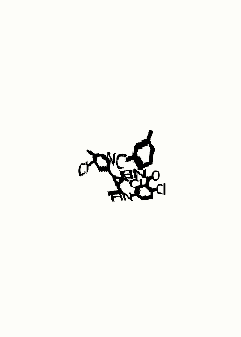 C=C(Nc1ccc(Cl)c(C(=O)Nc2ccc(C)cc2C#N)c1)C1C(c2ccc(C)c(Cl)c2)C1(Cl)Cl